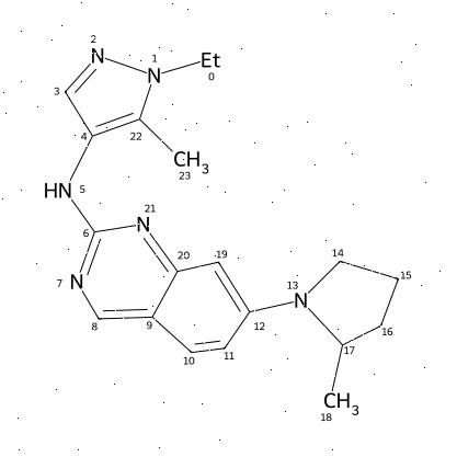 CCn1ncc(Nc2ncc3ccc(N4CCCC4C)cc3n2)c1C